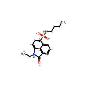 CCCCNS(=O)(=O)c1ccc2c3c(cccc13)C(=O)N2CC